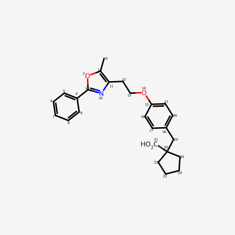 Cc1oc(-c2ccccc2)nc1CCOc1ccc(CC2(C(=O)O)CCCC2)cc1